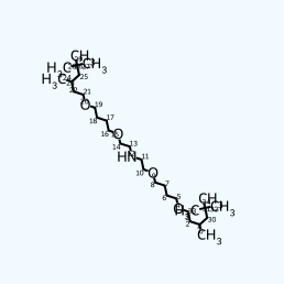 CC(CCOCCCCOCCNCCOCCCCOCCC(C)CC(C)(C)C)CC(C)(C)C